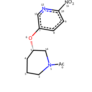 CC(=O)N1CCC[C@H](Oc2ccc([N+](=O)[O-])nc2)C1